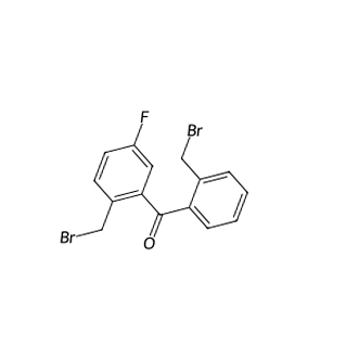 O=C(c1ccccc1CBr)c1cc(F)ccc1CBr